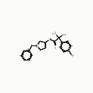 CC(O)(C(=O)OC1CCN(Cc2ccccc2)C1)c1ccc(Cl)cc1